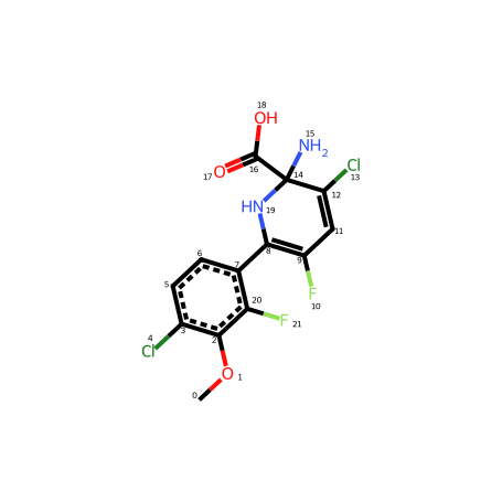 COc1c(Cl)ccc(C2=C(F)C=C(Cl)C(N)(C(=O)O)N2)c1F